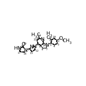 COc1ccc(N2CCc3c(-n4ccc(-n5cc[nH]c5=O)n4)cc(C)nc32)c(C)c1